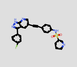 O=S(=O)(Nc1ccc(C#Cc2cnc3[nH]nc(-c4ccc(F)cc4)c3c2)cc1)c1cccnc1